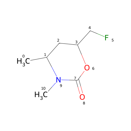 CC1CC(CF)OC(=O)N1C